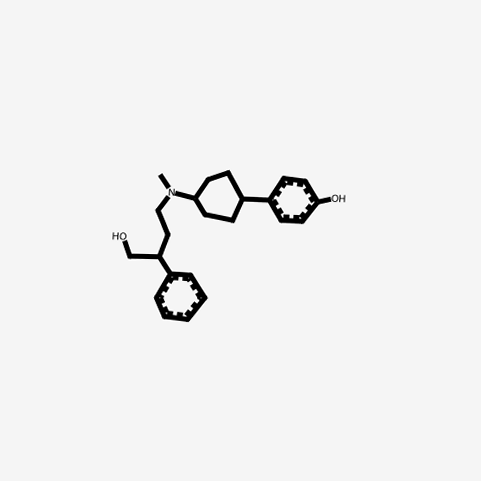 CN(CCC(CO)c1ccccc1)C1CCC(c2ccc(O)cc2)CC1